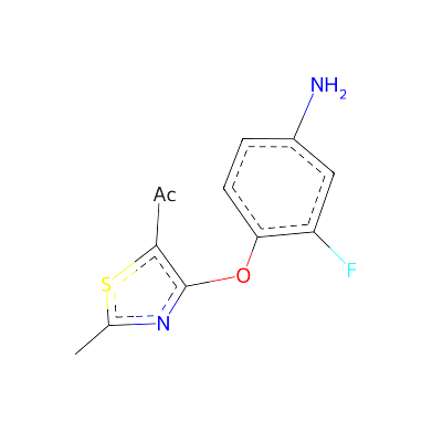 CC(=O)c1sc(C)nc1Oc1ccc(N)cc1F